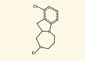 CCN1CCCN2c3cccc(Cl)c3CC2C1